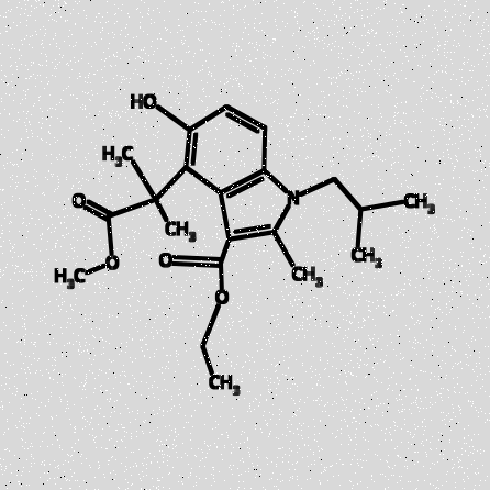 CCOC(=O)c1c(C)n(CC(C)C)c2ccc(O)c(C(C)(C)C(=O)OC)c12